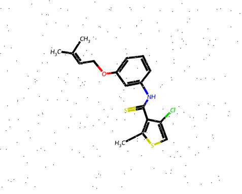 CC(C)=CCOc1cccc(NC(=S)c2c(Cl)csc2C)c1